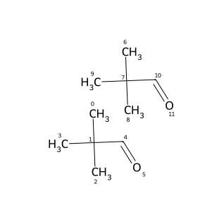 CC(C)(C)C=O.CC(C)(C)C=O